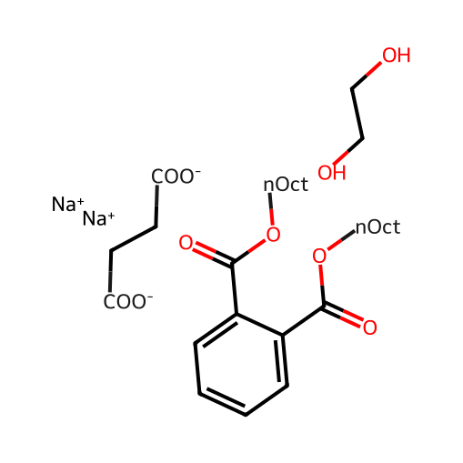 CCCCCCCCOC(=O)c1ccccc1C(=O)OCCCCCCCC.O=C([O-])CCC(=O)[O-].OCCO.[Na+].[Na+]